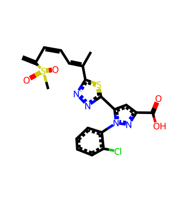 C=C(/C=C\C=C(/C)c1nnc(-c2cc(C(=O)O)nn2-c2ccccc2Cl)s1)S(C)(=O)=O